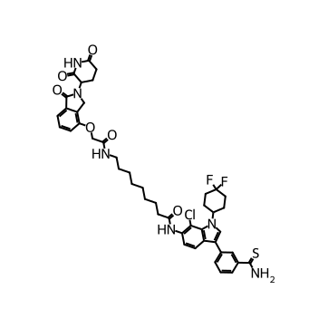 NC(=S)c1cccc(-c2cn(C3CCC(F)(F)CC3)c3c(Cl)c(NC(=O)CCCCCCCCNC(=O)COc4cccc5c4CN(C4CCC(=O)NC4=O)C5=O)ccc23)c1